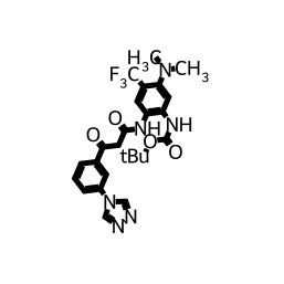 CN(C)c1cc(NC(=O)OC(C)(C)C)c(NC(=O)CC(=O)c2cccc(-n3cnnc3)c2)cc1C(F)(F)F